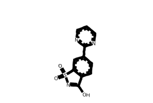 O=S1(=O)N=C(O)c2ccc(-c3ncccn3)cc21